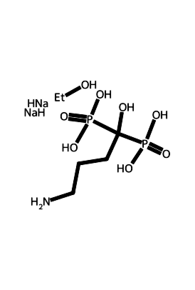 CCO.NCCCC(O)(P(=O)(O)O)P(=O)(O)O.[NaH].[NaH]